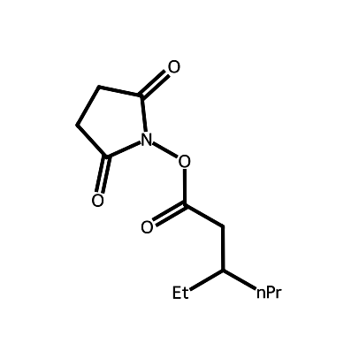 CCCC(CC)CC(=O)ON1C(=O)CCC1=O